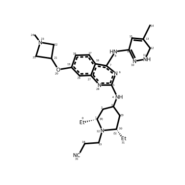 CC[C@@H]1CC(Nc2nc(NC3=NNCC(C)=C3)c3ccc(OC4CN(C)C4)cc3n2)C[C@H](CC)N1CCC#N